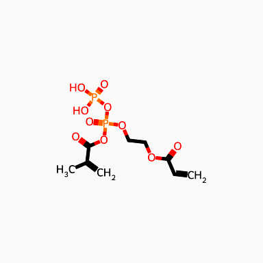 C=CC(=O)OCCOP(=O)(OC(=O)C(=C)C)OP(=O)(O)O